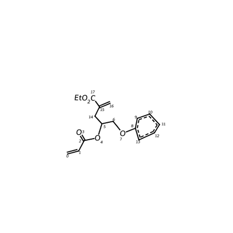 C=CC(=O)OC(COc1ccccc1)CC(=C)C(=O)OCC